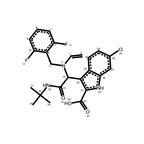 C=CN(Cc1c(F)cccc1F)C(C(=O)NC(C)(C)C)c1c(C(=O)O)[nH]c2cc(Cl)ccc12